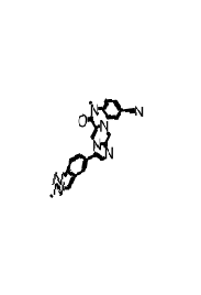 CN(C(=O)c1cn2c(-c3ccc4nn(C)cc4c3)cnc2cn1)c1ccc(C#N)cc1